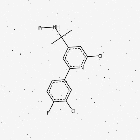 CC(C)NC(C)(C)c1cc(Cl)nc(-c2ccc(F)c(Cl)c2)c1